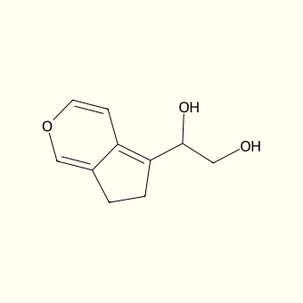 OCC(O)C1=C2C=COC=C2CC1